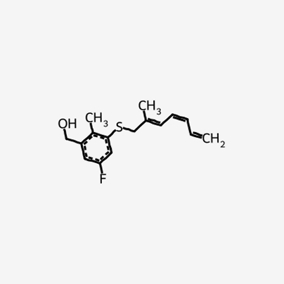 C=C/C=C\C=C(/C)CSc1cc(F)cc(CO)c1C